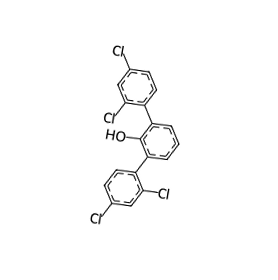 Oc1c(-c2ccc(Cl)cc2Cl)cccc1-c1ccc(Cl)cc1Cl